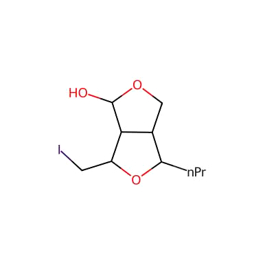 CCCC1OC(CI)C2C(O)OCC12